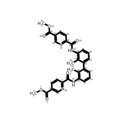 COC(=O)c1ccc(C(=O)Nc2cccc(-c3cccc(NC(=O)c4ccc(C(=O)OC)cn4)c3C)c2C)nc1